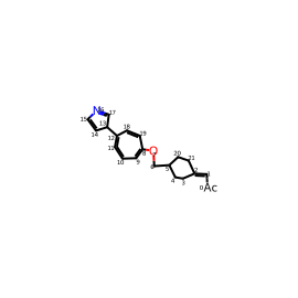 CC(=O)C=C1CCC(COC2=CC=C=C(C3C=CN=C3)C=C2)CC1